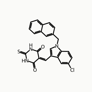 O=C1NC(=S)NC(=O)C1=Cc1cn(Cc2ccc3ccccc3c2)c2ccc(Cl)cc12